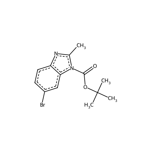 Cc1nc2ccc(Br)cc2n1C(=O)OC(C)(C)C